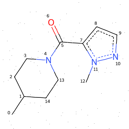 CC1CCN(C(=O)c2ccnn2C)CC1